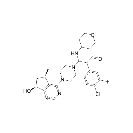 C[C@@H]1C[C@H](O)c2ncnc(N3CCN(C(NC4CCOCC4)C(C=O)c4ccc(Cl)c(F)c4)CC3)c21